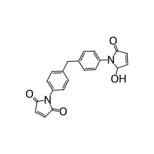 O=C1C=CC(=O)N1c1ccc(Cc2ccc(N3C(=O)C=CC3O)cc2)cc1